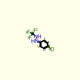 FC(F)(F)NNc1ccc(Cl)cc1